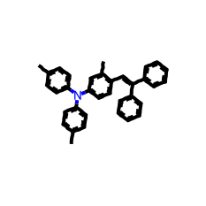 Cc1ccc(N(c2ccc(C)cc2)c2ccc(C=C(c3ccccc3)c3ccccc3)c(C)c2)cc1